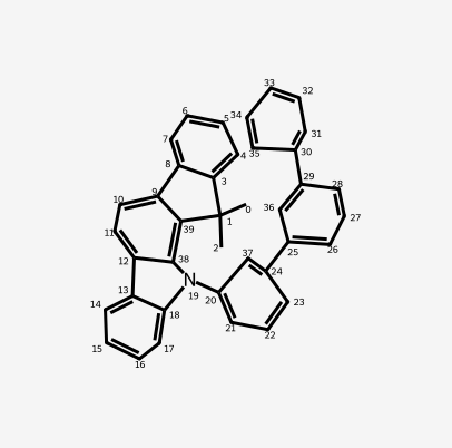 CC1(C)c2ccccc2-c2ccc3c4ccccc4n(-c4cccc(-c5cccc(-c6ccccc6)c5)c4)c3c21